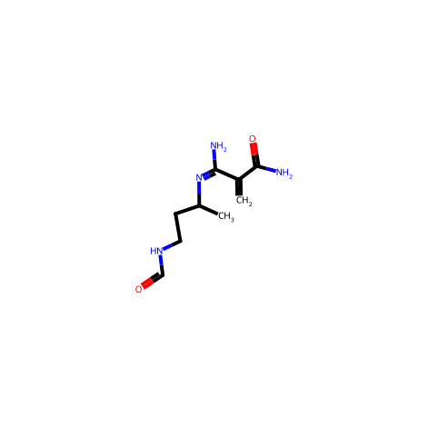 C=C(C(N)=O)/C(N)=N\C(C)CCNC=O